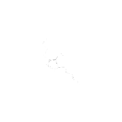 C=CCSc1nsc(SCC=C)c1C#N